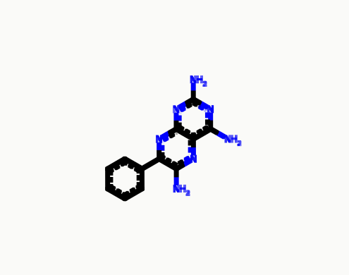 Nc1nc(N)c2nc(N)c(-c3ccccc3)nc2n1